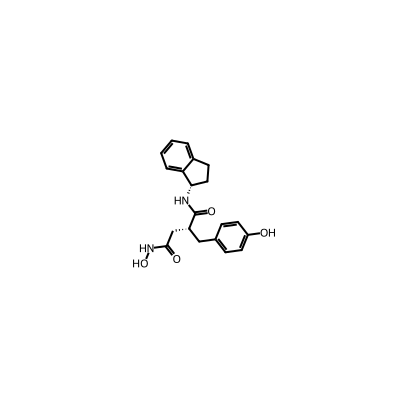 O=C(C[C@@H](Cc1ccc(O)cc1)C(=O)N[C@H]1CCc2ccccc21)NO